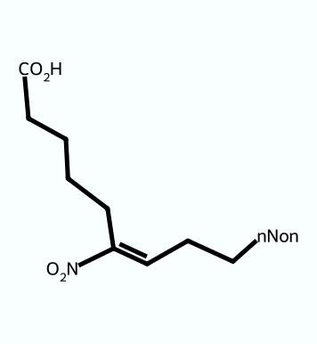 CCCCCCCCCCCC=C(CCCCC(=O)O)[N+](=O)[O-]